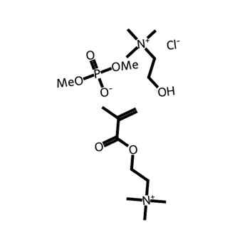 C=C(C)C(=O)OCC[N+](C)(C)C.COP(=O)([O-])OC.C[N+](C)(C)CCO.[Cl-]